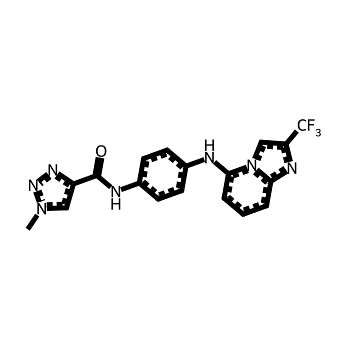 Cn1cc(C(=O)Nc2ccc(Nc3cccc4nc(C(F)(F)F)cn34)cc2)nn1